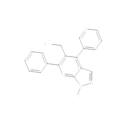 CCn1ncc2c(-c3cccnc3)c(CO)c(-c3ccccc3)nc21